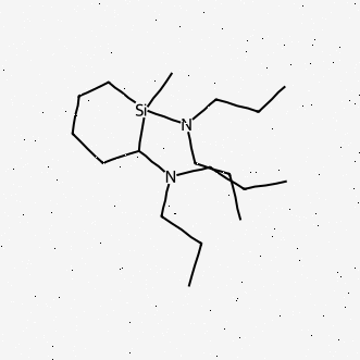 CCCN(CCC)C1CCCC[Si]1(C)N(CCC)CCC